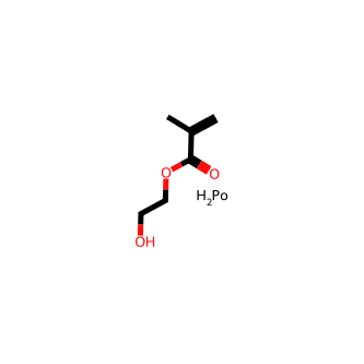 C=C(C)C(=O)OCCO.[PoH2]